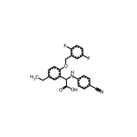 CCc1ccc(OCc2cc(F)ccc2F)c(C(Nc2ccc(C#N)cc2)C(=O)O)c1